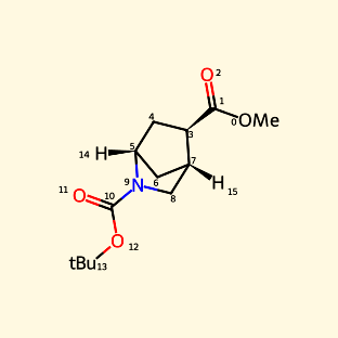 COC(=O)[C@@H]1C[C@@H]2C[C@H]1CN2C(=O)OC(C)(C)C